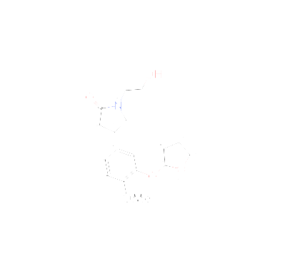 COc1ccc([C@@H]2CC(=O)N(CCO)C2)cc1OC1CCCO1